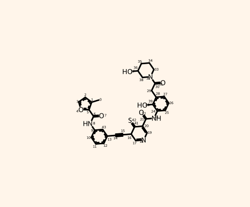 Cc1ccoc1C(=O)Nc1cccc(C#CC2C=NC=C(C(=O)Nc3cccc(CC(=O)N4CCCC(O)C4)c3O)C2=S)c1